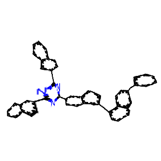 c1ccc(-c2ccc3c(-c4ccc5cc(-c6nc(-c7ccc8ccccc8c7)nc(-c7ccc8ccccc8c7)n6)ccc5c4)cccc3c2)cc1